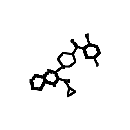 O=C(c1cc(F)ccc1Cl)C1CCN(c2nc3cnccc3nc2NC2CC2)CC1